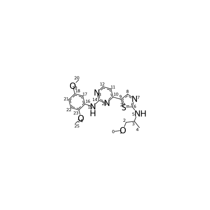 COCC(C)Nc1ncc(-c2ccnc(Nc3cc(OC)ccc3OC)n2)s1